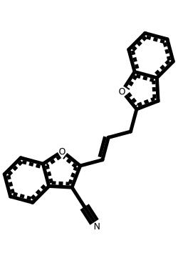 N#Cc1c(C=CCc2cc3ccccc3o2)oc2ccccc12